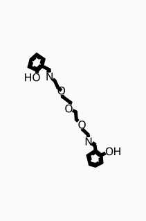 Oc1ccccc1C=NCCOCCOCCOCCN=Cc1ccccc1O